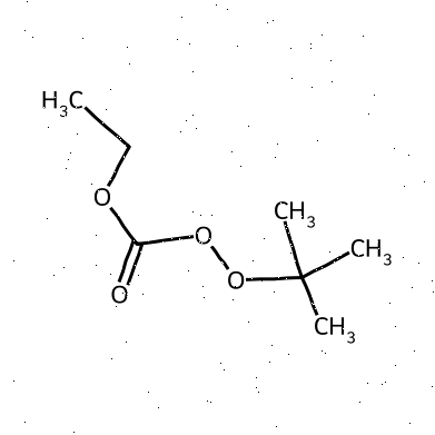 CCOC(=O)OOC(C)(C)C